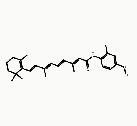 CC1=C(/C=C/C(C)=C/C=C/C(C)=C/C(=O)Nc2ccc(OC(F)(F)F)cc2C)C(C)(C)CCC1